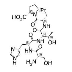 CC(C)C[C@H](NC(=O)[C@@H](NC(=O)[C@H](Cc1c[nH]cn1)NC(=O)[C@@H](N)CO)[C@@H](C)O)C(=O)N1CCC[C@H]1C(=O)O